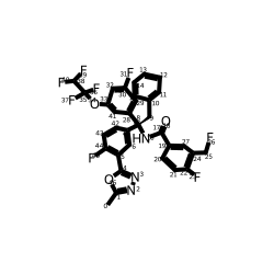 Cc1nnc(-c2cc([C@@](Cc3ccccc3)(NC(=O)c3ccc(F)c(CF)c3)c3cc(F)cc(OC(F)(F)C(F)F)c3)ccc2F)o1